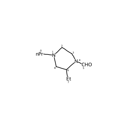 CCCN1CCN(C=O)C(CC)C1